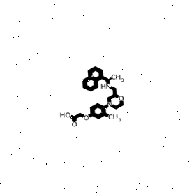 Cc1cc(OCC(=O)O)ccc1N1CCOC(CN[C@H](C)c2cccc3ccccc23)C1